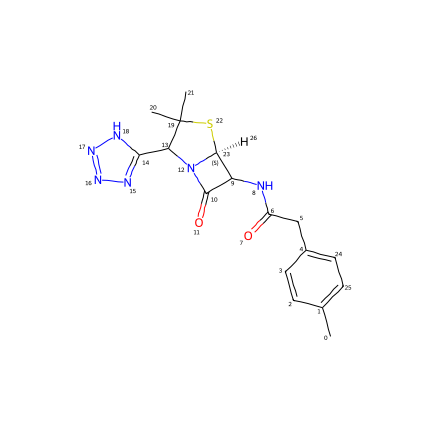 Cc1ccc(CC(=O)NC2C(=O)N3C(c4nnn[nH]4)C(C)(C)S[C@@H]23)cc1